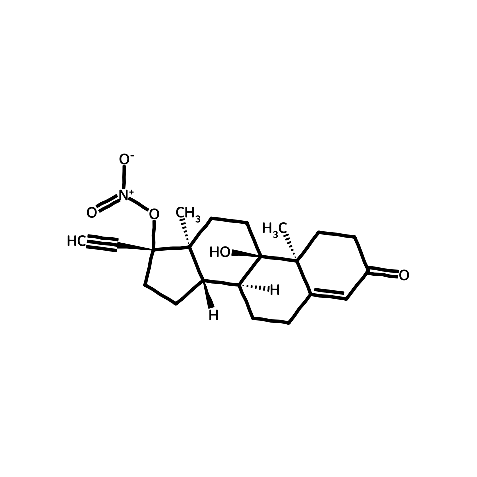 C#C[C@]1(O[N+](=O)[O-])CC[C@H]2[C@@H]3CCC4=CC(=O)CC[C@]4(C)[C@@]3(O)CC[C@@]21C